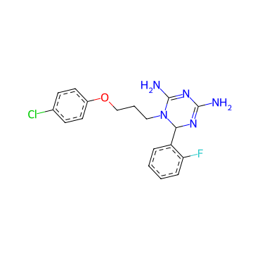 NC1=NC(c2ccccc2F)N(CCCOc2ccc(Cl)cc2)C(N)=N1